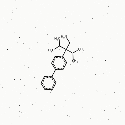 CC(C)C(CN)(c1ccc(-c2ccccc2)cc1)C(C)C